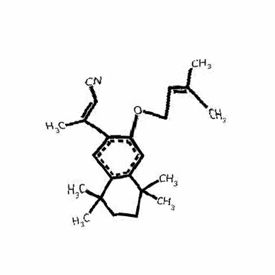 CC(C)=CCOc1cc2c(cc1C(C)=CC#N)C(C)(C)CCC2(C)C